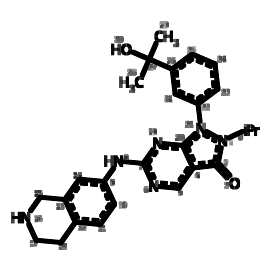 CC(C)n1c(=O)c2cnc(Nc3ccc4c(c3)CNCC4)nc2n1-c1cccc(C(C)(C)O)c1